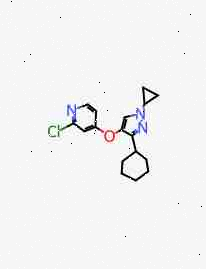 Clc1cc(Oc2cn(C3CC3)nc2C2CCCCC2)ccn1